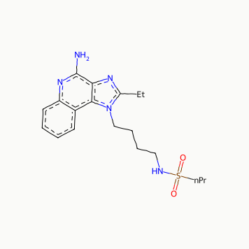 CCCS(=O)(=O)NCCCCn1c(CC)nc2c(N)nc3ccccc3c21